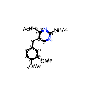 COc1ccc(Cc2cnc(NC(C)=O)nc2NC(C)=O)cc1OC